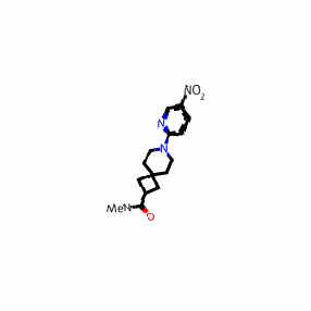 CNC(=O)C1CC2(CCN(c3ccc([N+](=O)[O-])cn3)CC2)C1